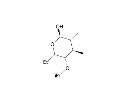 CCC1O[C@@H](O)C(C)[C@@H](C)[C@@H]1OC(C)C